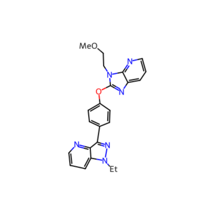 CCn1nc(-c2ccc(Oc3nc4cccnc4n3CCOC)cc2)c2ncccc21